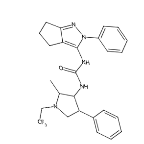 CC1C(NC(=O)Nc2c3c(nn2-c2ccccc2)CCC3)C(c2ccccc2)CN1CC(F)(F)F